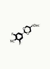 CCCCCCCCCC[C@H]1CO[C@H](c2cc(F)c(C#N)c(F)c2)OC1